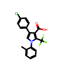 Cc1ccccc1-n1cc(-c2ccc(Cl)cc2)c(C(=O)O)c1C(F)(F)F